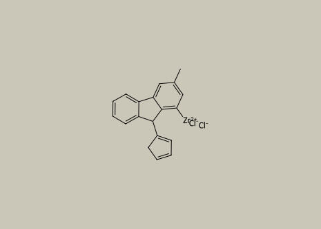 Cc1c[c]([Zr+2])c2c(c1)-c1ccccc1C2C1=CC=CC1.[Cl-].[Cl-]